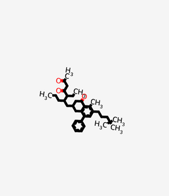 CCCC(CC1CC(=O)c2c(C)c(CCCC(C)(C)C)cc(-c3ccccc3)c2C1)C(CC)C(=O)CC(C)=O